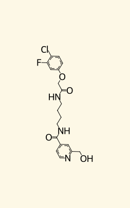 O=C(COc1ccc(Cl)c(F)c1)NCCCCNC(=O)c1ccnc(CO)c1